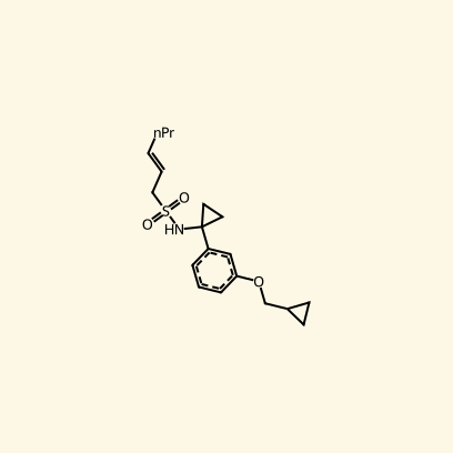 CCC/C=C/CS(=O)(=O)NC1(c2cccc(OCC3CC3)c2)CC1